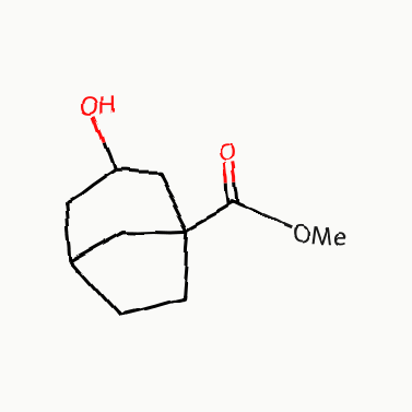 COC(=O)C12CCC(CC(O)C1)C2